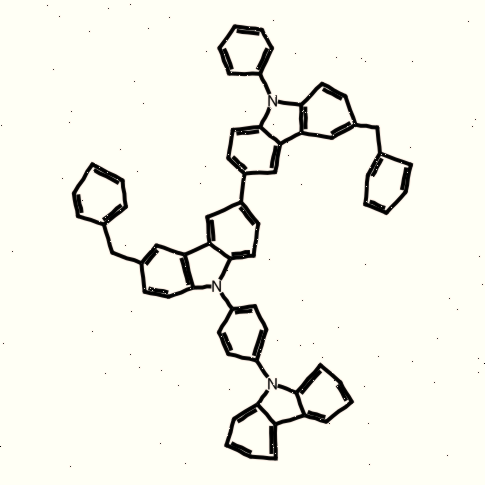 c1ccc(Cc2ccc3c(c2)c2cc(-c4ccc5c(c4)c4cc(Cc6ccccc6)ccc4n5-c4ccc(-n5c6ccccc6c6ccccc65)cc4)ccc2n3-c2ccccc2)cc1